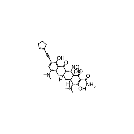 CN(C)c1cc(C#CC2=CCCC2)c(O)c2c1C[C@H]1C[C@H]3[C@H](N(C)C)C(O)=C(C(N)=O)C(=O)[C@@]3(O)C(N=O)=C1C2=O